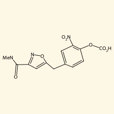 CNC(=O)c1cc(Cc2ccc(OC(=O)O)c([N+](=O)[O-])c2)on1